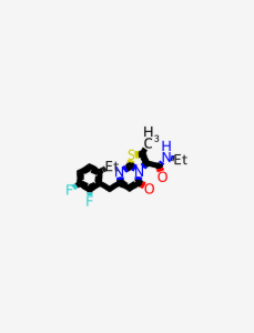 CCNC(=O)c1c(C)sc2nc(Cc3c(CC)ccc(F)c3F)cc(=O)n12